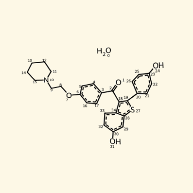 O.O=C(c1ccc(OCCN2CCCCC2)cc1)c1c(-c2ccc(O)cc2)sc2cc(O)ccc12